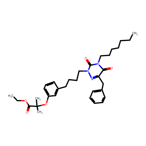 CCCCCCCn1c(=O)c(Cc2ccccc2)nn(CCCCc2cccc(OC(C)(C)C(=O)OCC)c2)c1=O